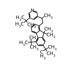 CC(Cc1cccc2c1C(C)(C)c1cc(C(C)(C)C)cc(C(C)(C)C)c1-2)c1cncc(C(C)(C)C)c1